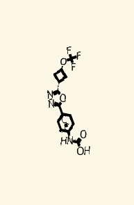 O=C(O)NC12CCC(c3nnc([C@H]4C[C@@H](OC(F)(F)F)C4)o3)(CC1)CC2